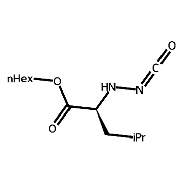 CCCCCCOC(=O)[C@H](CC(C)C)NN=C=O